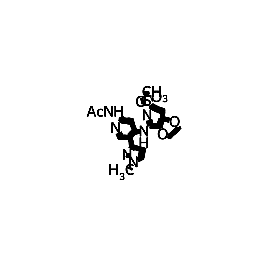 CC(=O)Nc1cc(Nc2nc(S(C)(=O)=O)cc3c2OCCO3)c(-c2ccn(C)n2)cn1